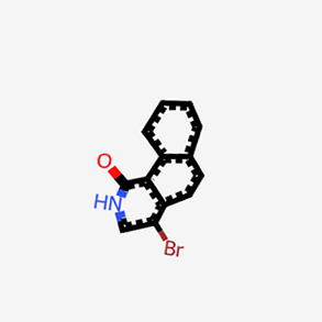 O=c1[nH]cc(Br)c2ccc3ccccc3c12